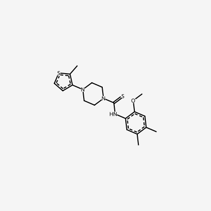 COc1cc(C)c(C)cc1NC(=S)N1CCN(c2ccsc2C)CC1